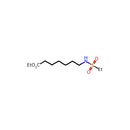 CCOC(=O)CCCCCCNS(=O)(=O)CC